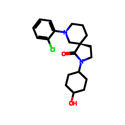 O=C1N(C2CCC(O)CC2)CC[C@@]12CCCN(c1ccccc1Cl)C2